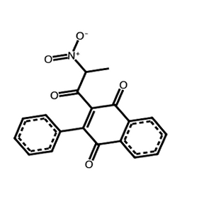 CC(C(=O)C1=C(c2ccccc2)C(=O)c2ccccc2C1=O)[N+](=O)[O-]